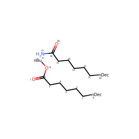 CCCCCCCCCCCCCCCC(=O)OCCCC.CCCCCCCCCCCCCCCC(N)=O